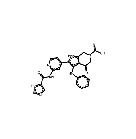 O=C(Nc1cc(-c2[nH]c3c(c2Nc2ccccc2)C(=O)CN(C(=O)O)C3)ccn1)c1cnn[nH]1